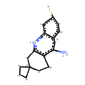 Nc1c2c(nc3cc(F)ccc13)CC1(CCC1)CC2